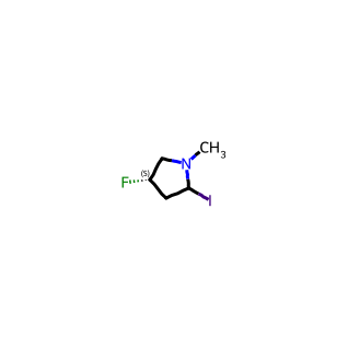 CN1C[C@@H](F)CC1I